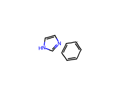 [c]1ccccc1.c1c[nH]cn1